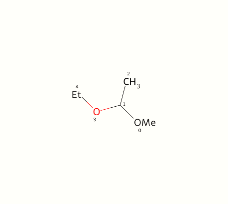 [CH]OC(C)OCC